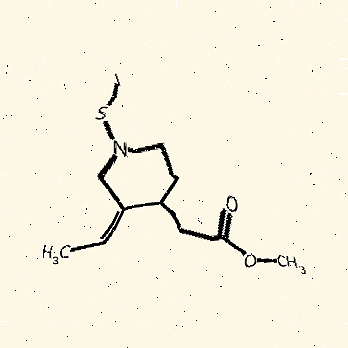 C/C=C1\CN(SI)CCC1CC(=O)OC